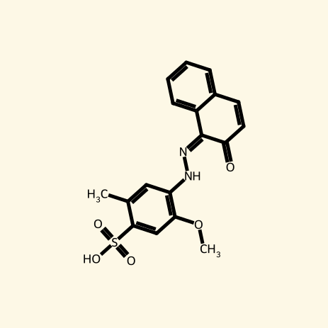 COc1cc(S(=O)(=O)O)c(C)cc1N/N=C1\C(=O)C=Cc2ccccc21